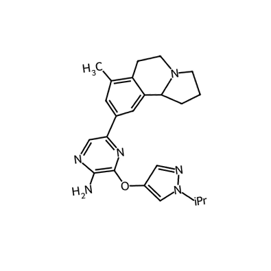 Cc1cc(-c2cnc(N)c(Oc3cnn(C(C)C)c3)n2)cc2c1CCN1CCCC21